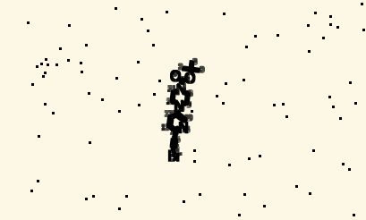 CC(C)(C)OC(=O)N1CCN(c2ccc(C#CBr)nc2)CC1